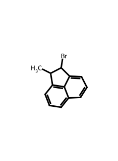 CC1c2cccc3cccc(c23)C1Br